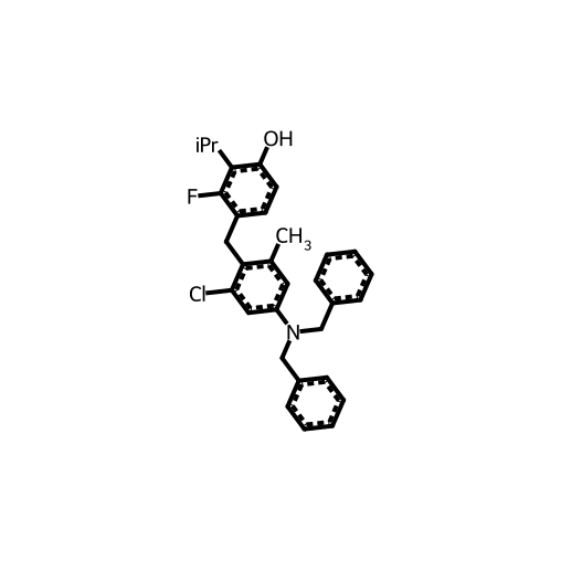 Cc1cc(N(Cc2ccccc2)Cc2ccccc2)cc(Cl)c1Cc1ccc(O)c(C(C)C)c1F